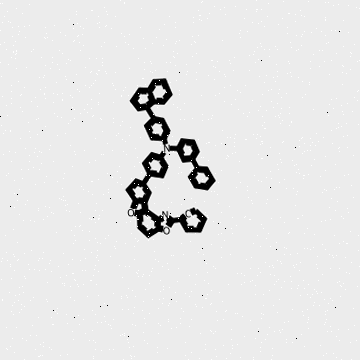 c1ccc(-c2cccc(N(c3ccc(-c4ccc5oc6ccc7oc(-c8ccccc8)nc7c6c5c4)cc3)c3ccc(-c4cccc5ccccc45)cc3)c2)cc1